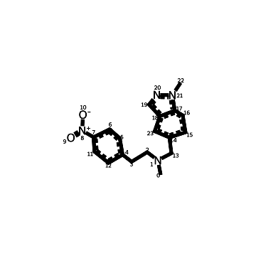 CN(CCc1ccc([N+](=O)[O-])cc1)Cc1ccc2c(cnn2C)c1